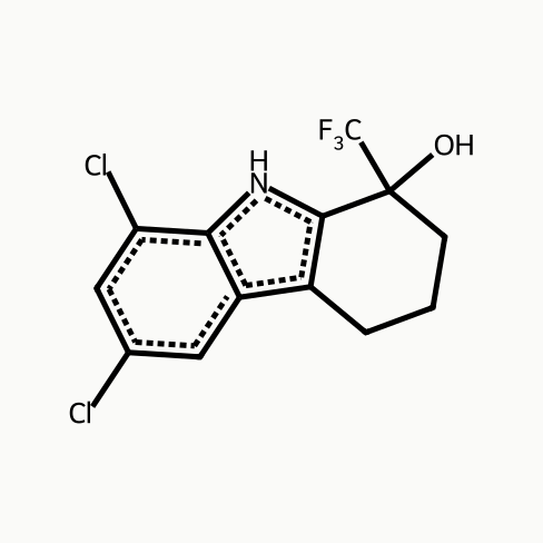 OC1(C(F)(F)F)CCCc2c1[nH]c1c(Cl)cc(Cl)cc21